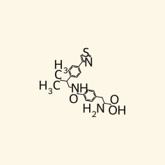 CC(C)C(CNC(=O)c1ccc(CC(N)C(=O)O)cc1)c1ccc(-c2cscn2)cc1